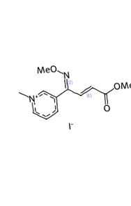 CO/N=C(/C=C/C(=O)OC)c1ccc[n+](C)c1.[I-]